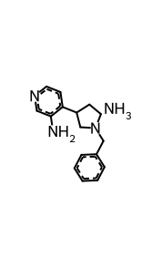 N.Nc1cnccc1C1CCN(Cc2ccccc2)C1